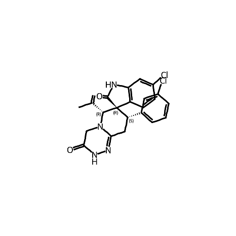 C=C(C)[C@H]1N2CC(=O)NN=C2C[C@@H](c2cccc(Cl)c2)[C@]12C(=O)Nc1cc(Cl)ccc12